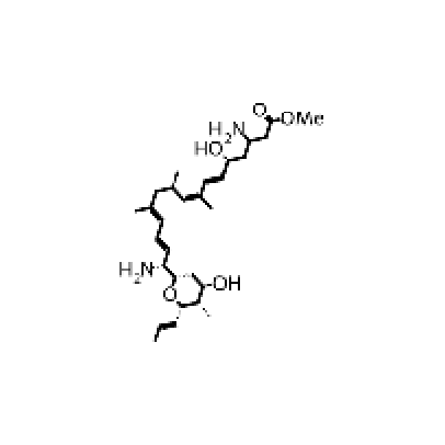 C/C=C/[C@@H]1O[C@H]([C@H](N)/C=C/C=C(\C)C[C@@H](C)/C=C(C)\C=C\[C@H](O)CC(N)CC(=O)OC)C[C@@H](O)[C@@H]1C